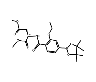 CCOc1cc(B2OC(C)(C)C(C)(C)O2)ccc1C(=O)N[C@H](CC(=O)OC)C(=O)OC